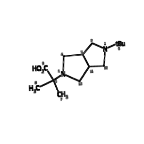 CC(C)(C)N1CC2CN(C(C)(C)C(=O)O)CC2C1